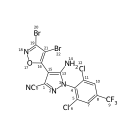 N#Cc1nn(-c2c(Cl)cc(C(F)(F)F)cc2Cl)c(N)c1-c1onc(Br)c1Br